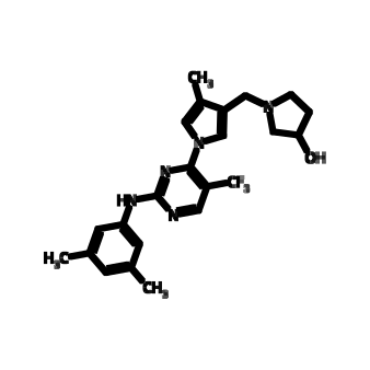 Cc1cc(C)cc(Nc2ncc(C(F)(F)F)c(-n3cc(C)c(CN4CCC(O)C4)c3)n2)c1